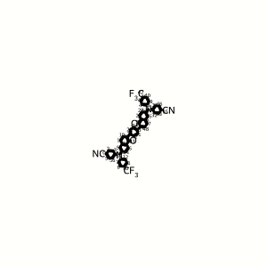 N#Cc1ccc(N(c2ccc(C(F)(F)F)cc2)c2ccc3c(ccc4c5cc6oc7c8ccc(N(c9ccc(C#N)cc9)c9ccc(C(F)(F)F)cc9)cc8ccc7c6cc5oc34)c2)cc1